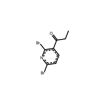 CCC(=O)c1ccc(Br)nc1Br